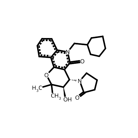 CC1(C)Oc2c(c(=O)n(CC3CCCCC3)c3ccccc23)[C@H](N2CCCC2=O)[C@H]1O